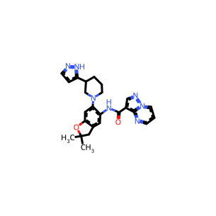 CC1(C)Cc2cc(NC(=O)c3cnn4cccnc34)c(N3CCCC(c4ccn[nH]4)C3)cc2O1